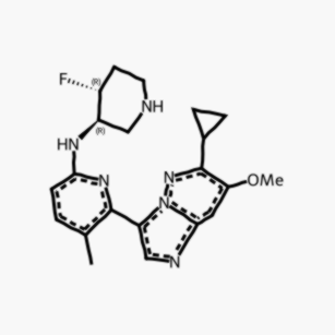 COc1cc2ncc(-c3nc(N[C@@H]4CNCC[C@H]4F)ccc3C)n2nc1C1CC1